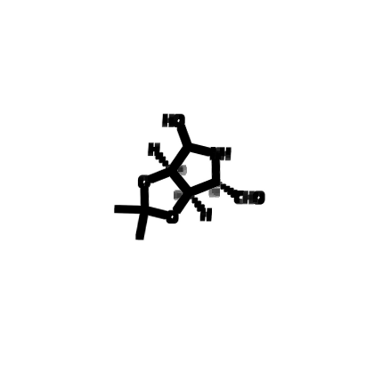 CC1(C)O[C@@H]2[C@@H](C=O)NC(O)[C@@H]2O1